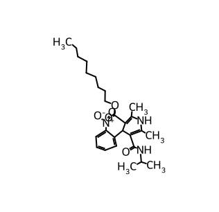 CCCCCCCCCOC(=O)C1=C(C)NC(C)=C(C(=O)NC(C)C)C1c1ccccc1[N+](=O)[O-]